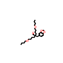 CCCCOCCCCC([C]=O)(CCCCOCCCC)Cc1ccc2c(c1)OCO2